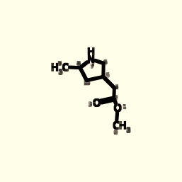 COC(=O)CC1CNC(C)C1